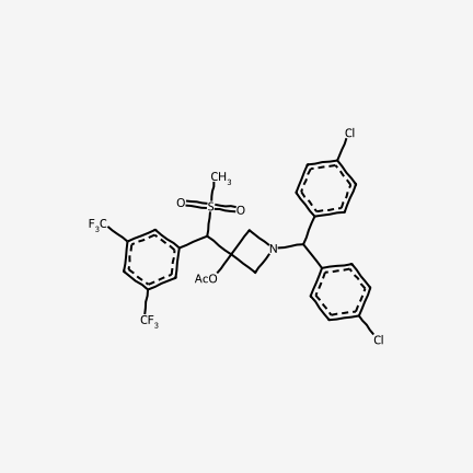 CC(=O)OC1(C(c2cc(C(F)(F)F)cc(C(F)(F)F)c2)S(C)(=O)=O)CN(C(c2ccc(Cl)cc2)c2ccc(Cl)cc2)C1